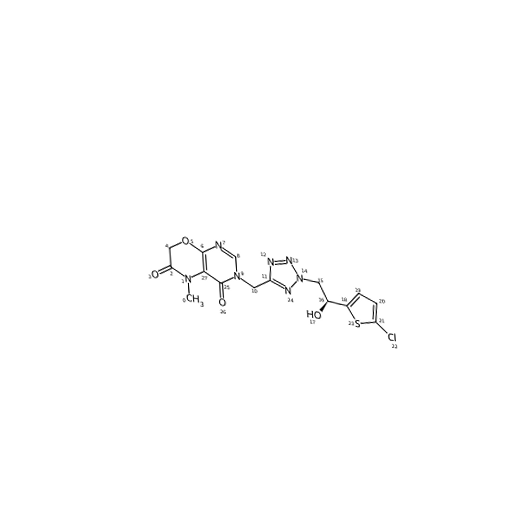 CN1C(=O)COc2ncn(Cc3nnn(C[C@H](O)c4ccc(Cl)s4)n3)c(=O)c21